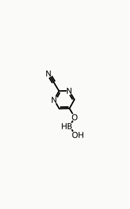 N#Cc1ncc(OBO)cn1